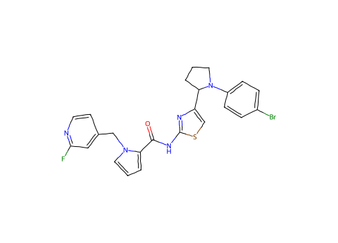 O=C(Nc1nc(C2CCCN2c2ccc(Br)cc2)cs1)c1cccn1Cc1ccnc(F)c1